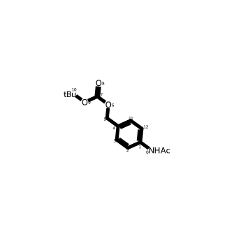 CC(=O)Nc1ccc(COC(=O)OC(C)(C)C)cc1